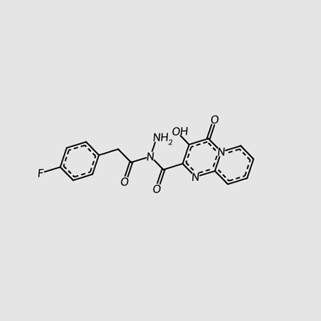 NN(C(=O)Cc1ccc(F)cc1)C(=O)c1nc2ccccn2c(=O)c1O